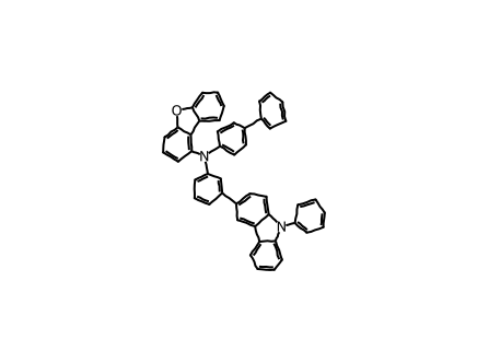 c1ccc(-c2ccc(N(c3cccc(-c4ccc5c(c4)c4ccccc4n5-c4ccccc4)c3)c3cccc4oc5ccccc5c34)cc2)cc1